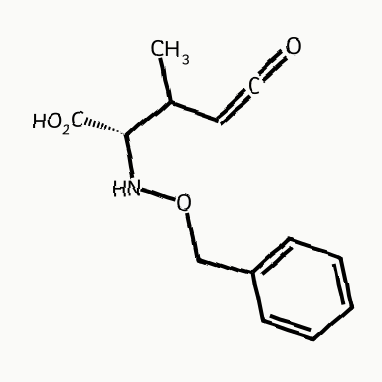 CC(C=C=O)[C@H](NOCc1ccccc1)C(=O)O